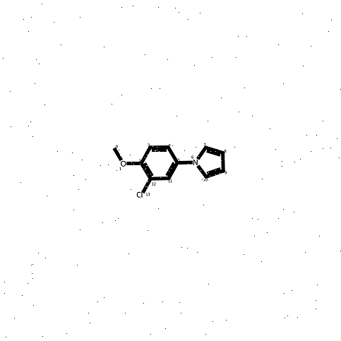 COc1ccc(-n2cccc2)cc1Cl